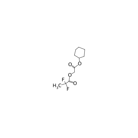 CC(F)(F)C(=O)OCC(=O)OC1CCCCC1